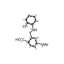 CSc1ncc(C(=O)O)c(CNc2ccccc2Cl)n1